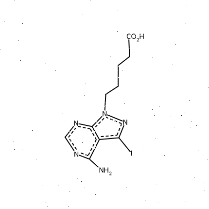 Nc1ncnc2c1c(I)nn2CCCCC(=O)O